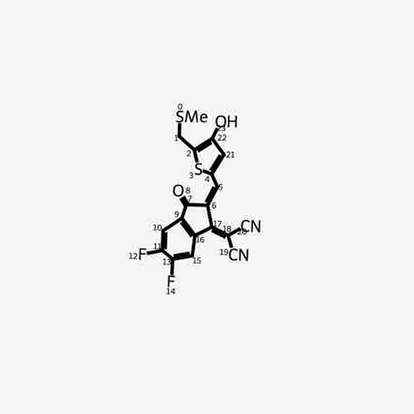 CSCc1sc(/C=C2\C(=O)c3cc(F)c(F)cc3C2=C(C#N)C#N)cc1O